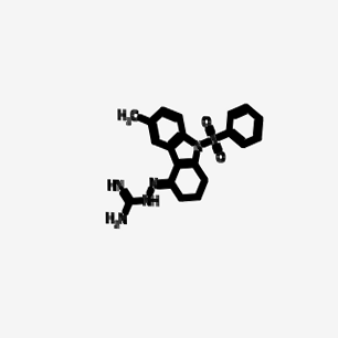 Cc1ccc2c(c1)c1c(n2S(=O)(=O)c2ccccc2)CCC/C1=N\NC(=N)N